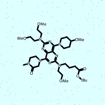 COCCN(CCCC(=O)OC(C)(C)C)c1nc(N2CCN(C)C(=O)C2)c2nc(N(CCOC)CCOC)nc(N3CCC(OC)CC3)c2n1